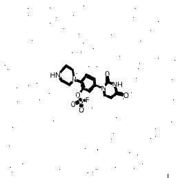 O=C1CCN(c2ccc(N3CCNCC3)c(OS(=O)(=O)F)c2)C(=O)N1